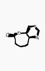 O=C1CCCc2ncncc2O1